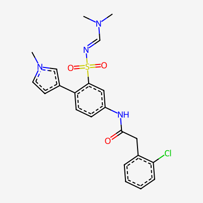 CN(C)C=NS(=O)(=O)c1cc(NC(=O)Cc2ccccc2Cl)ccc1-c1ccn(C)c1